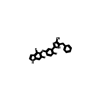 N#Cc1nc(-c2cc(Oc3c(F)cc4[nH]ccc4c3F)ccc2F)[nH]c1Cc1ccccc1